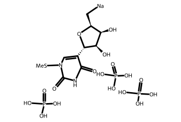 CSn1cc([C@@H]2O[C@@H]([CH2][Na])[C@@H](O)[C@H]2O)c(=O)[nH]c1=O.O=P(O)(O)O.O=P(O)(O)O.O=P(O)(O)O